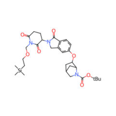 CC(C)(C)OC(=O)N1CC2CC(Oc3ccc4c(c3)CN(C3CCC(=O)N(COCC[Si](C)(C)C)C3=O)C4=O)C1C2